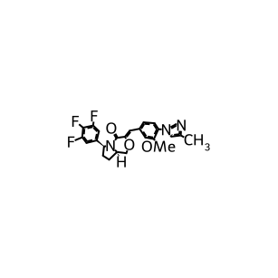 COc1cc(/C=C2\OC[C@H]3CC[C@@H](c4cc(F)c(F)c(F)c4)N3C2=O)ccc1-n1cnc(C)c1